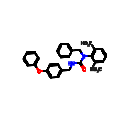 O=C(O)c1cccc(C(=O)O)c1N(Cc1ccccc1)C(=O)NCc1ccc(Oc2ccccc2)cc1